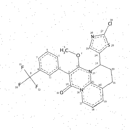 COc1c(-c2cccc(C(F)(F)F)c2)c(=O)[n+]2cccc3c2n1C(c1cnc(Cl)s1)CC3